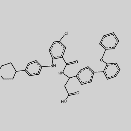 O=C(O)CC(NC(=O)c1cc(Cl)ccc1Nc1ccc(C2CCCCC2)cc1)c1ccc(-c2ccccc2Oc2ccccc2)cc1